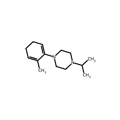 CC1=C[CH]CC=C1N1CCN(C(C)C)CC1